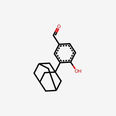 O=Cc1ccc(O)c(C23CC4CC(CC(C4)C2)C3)c1